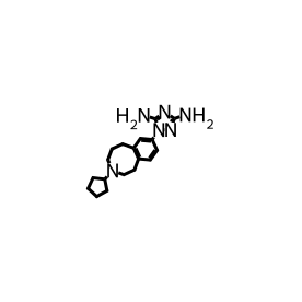 Nc1nc(N)n(-c2ccc3c(c2)CCCN(C2CCCC2)CC3)n1